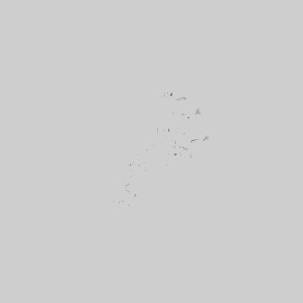 CCNC(=O)CN(C[C@H](O)[C@@]12CC[C@]3(C)[C@H](CCC4[C@@]5(C)CC[C@H](OC(=O)CC(C)(C)C(=O)O)C(C)(C)[C@@H]5CC[C@]43C)C1=C(C(C)C)C(=O)C2)C(C)C